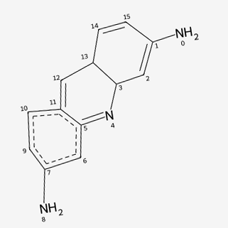 NC1=CC2N=c3cc(N)ccc3=CC2C=C1